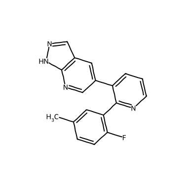 Cc1ccc(F)c(-c2ncccc2-c2cnc3[nH]ncc3c2)c1